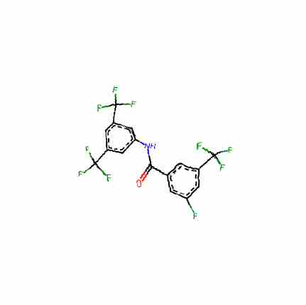 O=C(Nc1cc(C(F)(F)F)cc(C(F)(F)F)c1)c1cc(F)cc(C(F)(F)F)c1